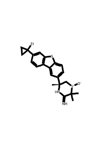 CCC1(c2ccc3c(c2)sc2ccc([C@]4(C)C[S+]([O-])C(C)(C)C(=N)N4)cc23)CC1